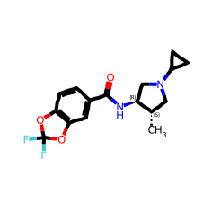 C[C@H]1CN(C2CC2)C[C@@H]1NC(=O)c1ccc2c(c1)OC(F)(F)O2